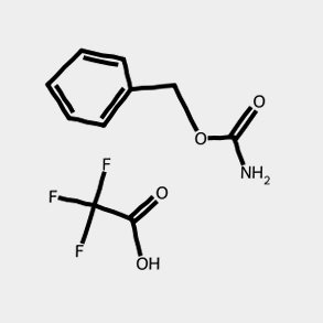 NC(=O)OCc1ccccc1.O=C(O)C(F)(F)F